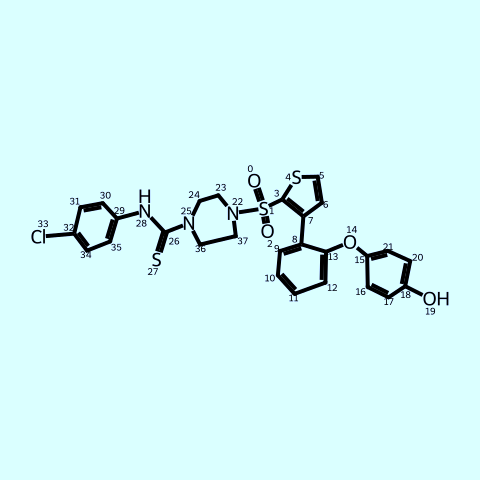 O=S(=O)(c1sccc1-c1ccccc1Oc1ccc(O)cc1)N1CCN(C(=S)Nc2ccc(Cl)cc2)CC1